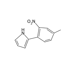 Cc1ccc(-c2ccc[nH]2)c([N+](=O)[O-])c1